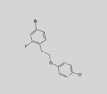 Fc1cc(Br)ccc1CCOc1ccc(Cl)cc1